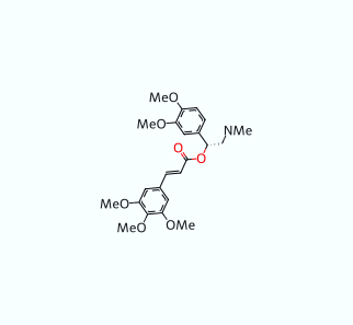 CNC[C@H](OC(=O)/C=C/c1cc(OC)c(OC)c(OC)c1)c1ccc(OC)c(OC)c1